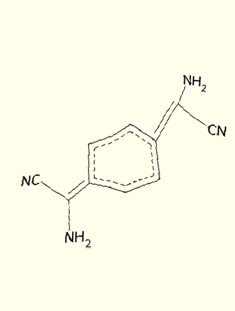 N#CC(N)=c1ccc(=C(N)C#N)cc1